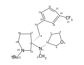 CN([C@@H]1CCOC1)[C@]1(CCc2cccc(C(F)(F)F)c2)CCCN(C(C)(C)C)C1